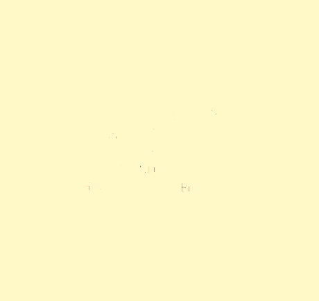 CC(=O)Nc1ccc2sccc2c1Br